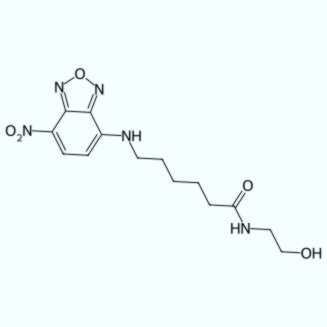 O=C(CCCCCNc1ccc([N+](=O)[O-])c2nonc12)NCCO